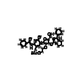 COCCO[C@H]1C(O[P@]2O[C@@H](c3ccccc3)[C@H]3CCCN32)[C@@H](CO)O[C@H]1n1cc(C)c(NC(=O)c2ccccc2)nc1=O